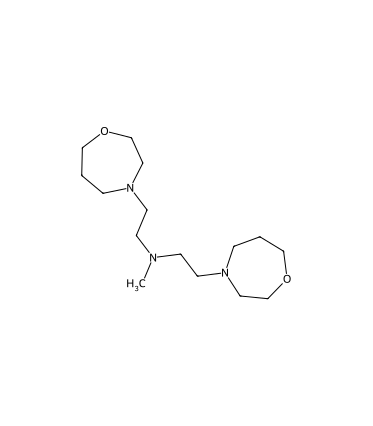 CN(CCN1CCCOCC1)CCN1CCCOCC1